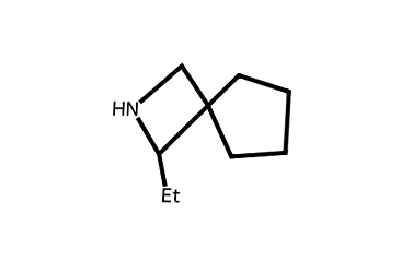 CCC1NCC12CCCC2